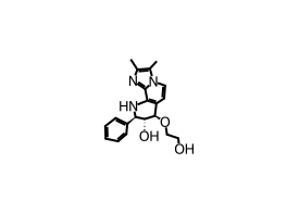 Cc1nc2c3c(ccn2c1C)[C@@H](OCCO)[C@H](O)[C@@H](c1ccccc1)N3